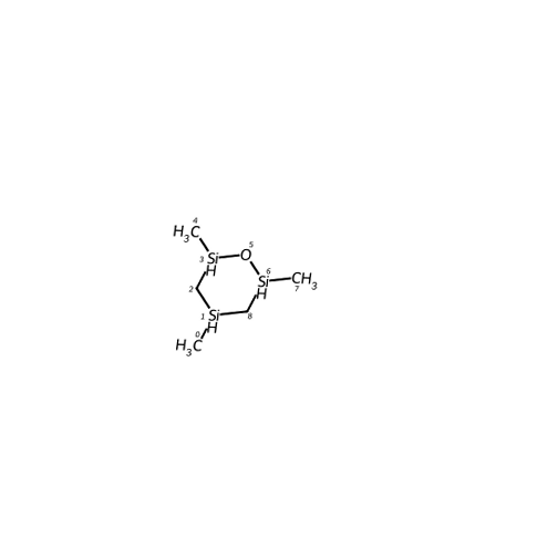 C[SiH]1C[SiH](C)O[SiH](C)C1